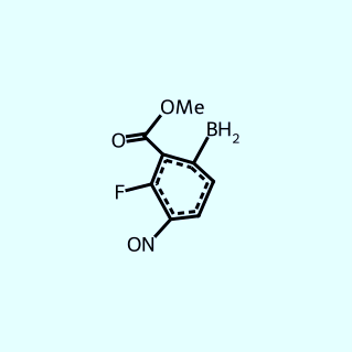 Bc1ccc(N=O)c(F)c1C(=O)OC